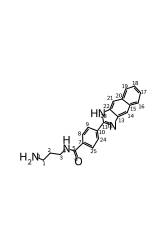 NCCCNC(=O)c1ccc(-c2nc3cc4ccccc4cc3[nH]2)cc1